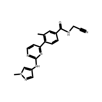 Cc1cc(C(=O)NCC#N)ccc1-c1ccnc(Nc2cnn(C)c2)n1